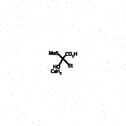 CCC(O)(SC)C(=O)O.[CaH2]